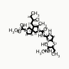 CCC(SC1CNC(NC(=O)N2CC3(CCN(C(O)OC)C3)C(C[C@H](Cl)CC)C2C)S1)C(O)NC